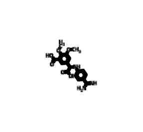 COc1cc(C(Nc2ccc(C(=N)N)cc2)C(=O)O)cc(C(=O)O)c1OC